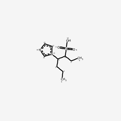 CCCC(C(CC)S(=O)(=O)O)n1ccnc1